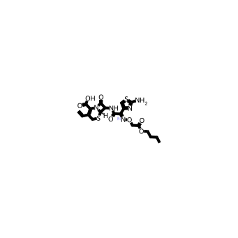 C=CC1=C(C(=O)O)N2C(=O)C(NC(=O)/C(=N/OCC(=O)OCCCC)c3csc(N)n3)[C@H]2SC1